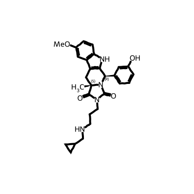 COc1ccc2[nH]c3c(c2c1)C[C@@]1(C)C(=O)N(CCCNCC2CC2)C(=O)N1[C@@H]3c1cccc(O)c1